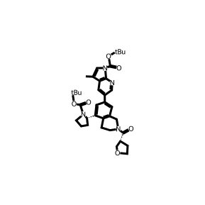 Cc1cn(C(=O)OC(C)(C)C)c2ncc(-c3cc4c(c([C@@H]5CCCN5C(=O)OC(C)(C)C)c3)CCN(C(=O)[C@@H]3CCOC3)C4)cc12